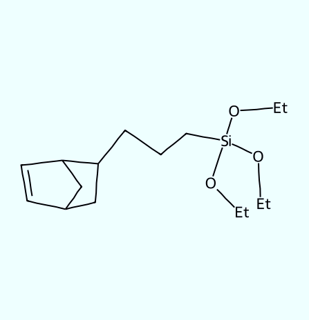 CCO[Si](CCCC1CC2C=CC1C2)(OCC)OCC